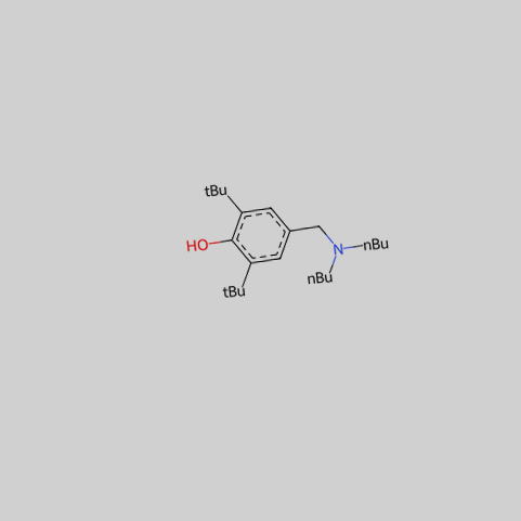 CCCCN(CCCC)Cc1cc(C(C)(C)C)c(O)c(C(C)(C)C)c1